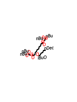 CCCCCCCCCCCCCCCC(=O)OCC(C)C.CCCCOC(COC(=O)CCCCCCCCC(=O)OCC(OCCCC)OCCCC)OCCCC